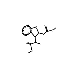 COC(=O)CC1Oc2ccccc2C1C(C)C(=O)OC